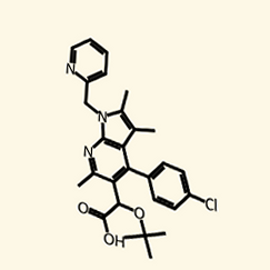 Cc1nc2c(c(C)c(C)n2Cc2ccccn2)c(-c2ccc(Cl)cc2)c1C(OC(C)(C)C)C(=O)O